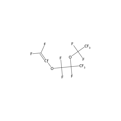 F[C](F)=[Cf][O]C(F)(F)C(F)(OC(F)(F)C(F)(F)F)C(F)(F)F